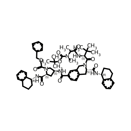 C[C@@H](C(=O)N[C@H](C(=O)N1Cc2cc(C(=O)N[C@H]3C[C@@H](C(=O)N[C@@H]4CCCc5ccccc54)N(C(=O)OCc4ccccc4)C3)ccc2C[C@H]1C(=O)N[C@@H]1CCCc2ccccc21)C(C)(C)C)N(C)C(=O)OC(C)(C)C